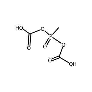 CP(=O)(OC(=O)O)OC(=O)O